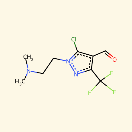 CN(C)CCn1nc(C(F)(F)F)c(C=O)c1Cl